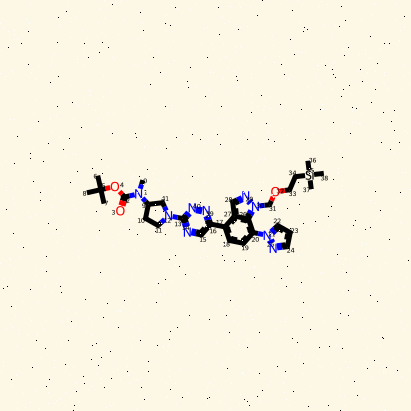 CN(C(=O)OC(C)(C)C)C1CCN(c2ncc(-c3ccc(-n4cccn4)c4c3cnn4COCC[Si](C)(C)C)nn2)C1